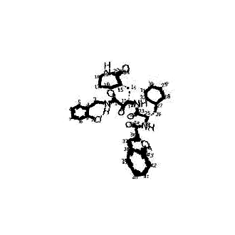 O=C(NCc1ccccc1Cl)C(=O)[C@H](C[C@@H]1CCCNC1=O)NC(=O)[C@H](CC1CCCCC1)NC(=O)c1cc2ccccc2o1